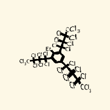 [CH2]Cc1c(C(Cl)(Cl)C(Cl)(Cl)C(Cl)(Cl)C(Cl)(Cl)Cl)cc(C(Cl)(Cl)C(Cl)(Cl)C(Cl)(Cl)C(Cl)(Cl)Cl)cc1C(Cl)(Cl)C(Cl)(Cl)C(Cl)(Cl)C(Cl)(Cl)Cl